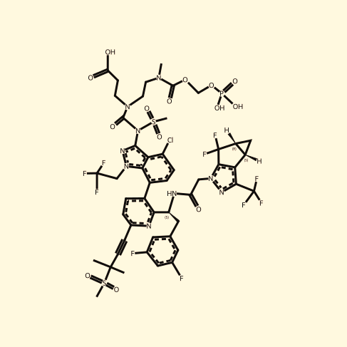 CN(CCN(CCC(=O)O)C(=O)N(c1nn(CC(F)(F)F)c2c(-c3ccc(C#CC(C)(C)S(C)(=O)=O)nc3[C@H](Cc3cc(F)cc(F)c3)NC(=O)Cn3nc(C(F)(F)F)c4c3C(F)(F)[C@@H]3C[C@H]43)ccc(Cl)c12)S(C)(=O)=O)C(=O)OCOP(=O)(O)O